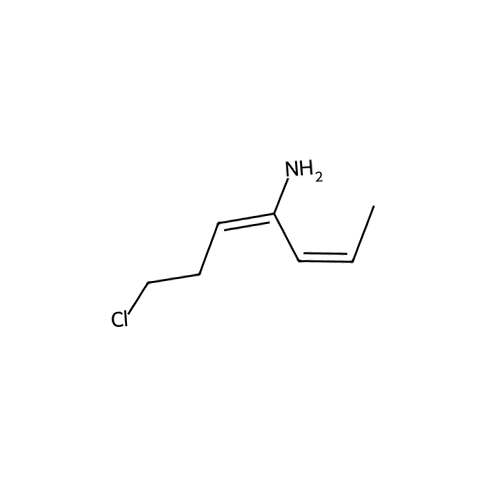 C/C=C\C(N)=C/CCCl